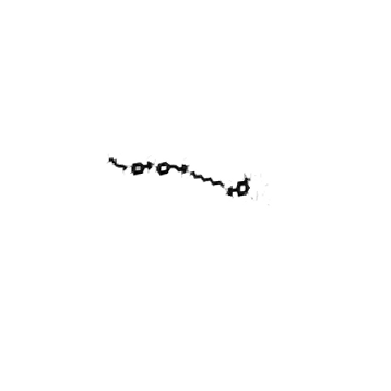 Nc1cc(N)cc(C(=O)OCCCCCCCCOC(=O)/C=C/c2ccc(OC(=O)c3ccc(OCCC(F)(F)F)cc3)cc2)c1